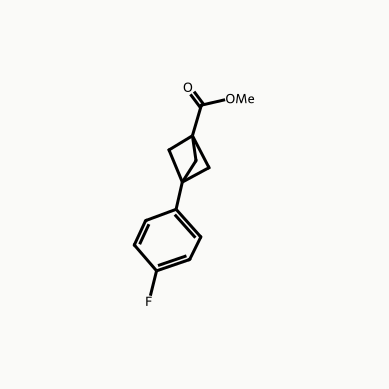 COC(=O)C12CC(c3ccc(F)cc3)(C1)C2